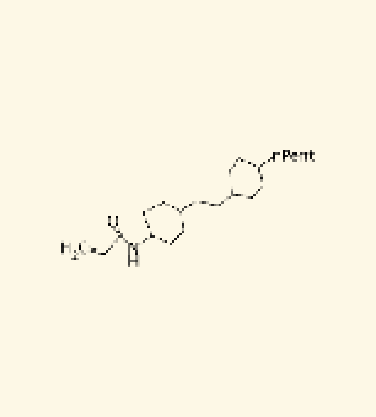 C=CC(=O)NC1CCC(CCC2CCC(CCCCC)CC2)CC1